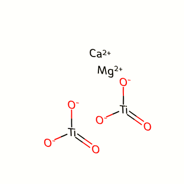 [Ca+2].[Mg+2].[O]=[Ti]([O-])[O-].[O]=[Ti]([O-])[O-]